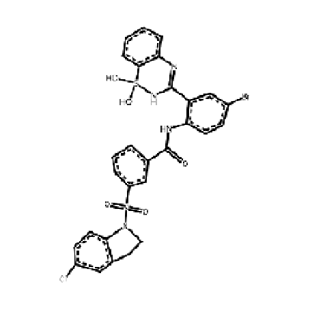 O=C(Nc1ccc(Br)cc1C1=Nc2ccccc2S(O)(O)N1)c1cccc(S(=O)(=O)N2CCc3cc(Cl)ccc32)c1